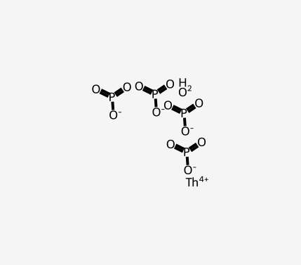 O.O=P(=O)[O-].O=P(=O)[O-].O=P(=O)[O-].O=P(=O)[O-].[Th+4]